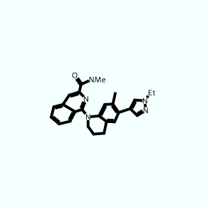 CCn1cc(-c2cc3c(cc2C)N(c2nc(C(=O)NC)cc4ccccc24)CCC3)cn1